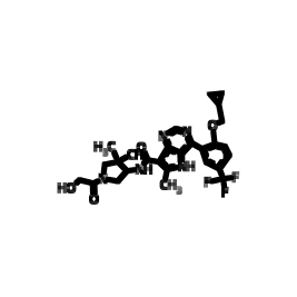 Cc1[nH]c2c(-c3cc(C(F)(F)F)ccc3OCC3CC3)ncnc2c1C(=O)NC1CN(C(=O)CO)CC1(C)C